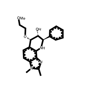 COCCO[C@H]1c2ccc3c(nc(C)n3C)c2N[C@H](c2ccccc2)[C@H]1O